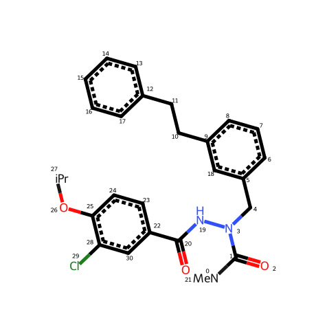 CNC(=O)N(Cc1cccc(CCc2ccccc2)c1)NC(=O)c1ccc(OC(C)C)c(Cl)c1